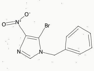 O=[N+]([O-])c1ncn(Cc2ccccc2)c1Br